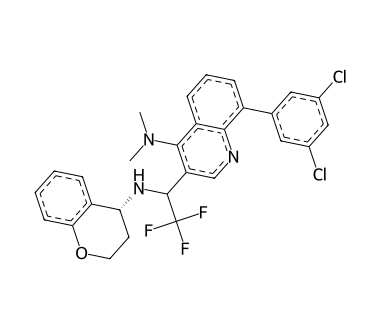 CN(C)c1c(C(N[C@@H]2CCOc3ccccc32)C(F)(F)F)cnc2c(-c3cc(Cl)cc(Cl)c3)cccc12